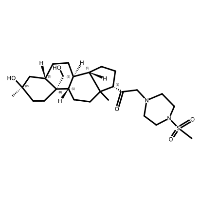 CC12CC[C@H]3[C@@H](CC[C@H]4C[C@](C)(O)CC[C@@]43CO)[C@@H]1CC[C@@H]2C(=O)CN1CCN(S(C)(=O)=O)CC1